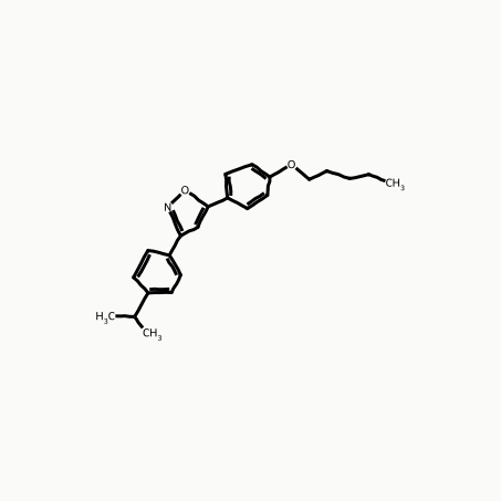 CCCCCOc1ccc(-c2cc(-c3ccc(C(C)C)cc3)no2)cc1